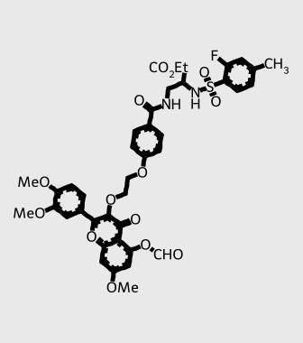 CCOC(=O)C(CNC(=O)c1ccc(OCCOc2c(-c3ccc(OC)c(OC)c3)oc3cc(OC)cc(OC=O)c3c2=O)cc1)NS(=O)(=O)c1ccc(C)cc1F